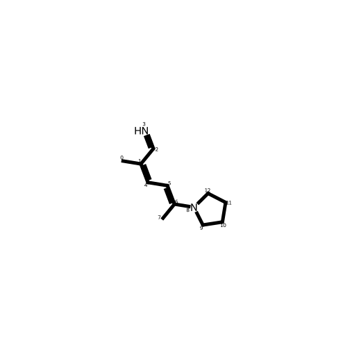 C/C(C=N)=C/C=C(\C)N1CCCC1